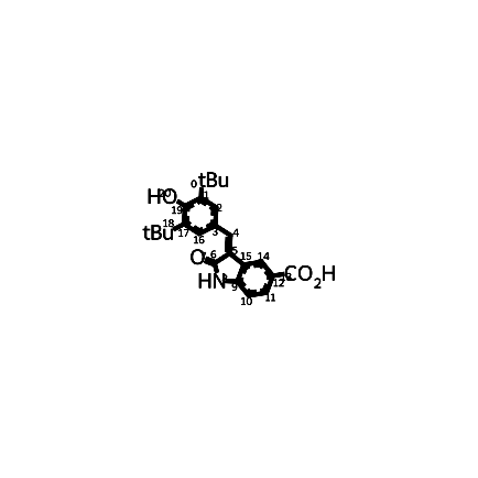 CC(C)(C)c1cc(C=C2C(=O)Nc3ccc(C(=O)O)cc32)cc(C(C)(C)C)c1O